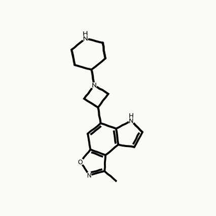 Cc1noc2cc(C3CN(C4CCNCC4)C3)c3[nH]ccc3c12